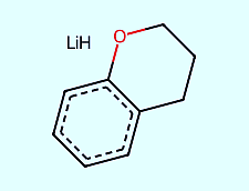 [LiH].c1ccc2c(c1)CCCO2